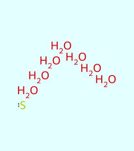 O.O.O.O.O.O.O.[S]